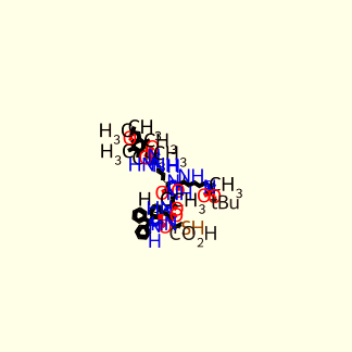 Cc1c(C)c(S(=O)(=O)N(C)C(=N)NCCC[C@H](NC(=O)[C@@H](N)CCCCN(C)C(=O)OC(C)(C)C)C(=O)NC(C)(C)C(=O)N[C@@H](CC(=O)NC(c2ccccc2)(c2ccccc2)c2ccccc2)C(=O)N[C@@H](CS)C(=O)O)c(C)c2c1OC(C)(C)C2